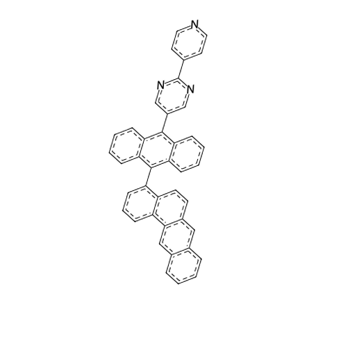 c1ccc2cc3c(ccc4c(-c5c6ccccc6c(-c6cnc(-c7ccncc7)nc6)c6ccccc56)cccc43)cc2c1